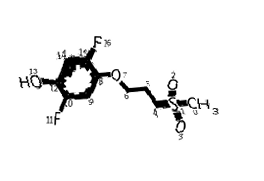 CS(=O)(=O)CCCOc1cc(F)c(O)cc1F